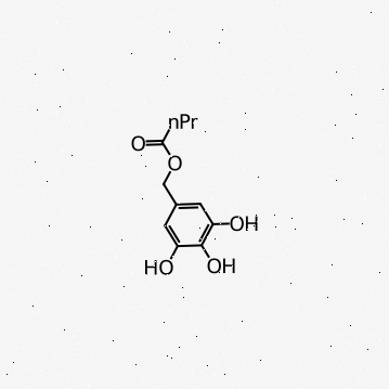 CCCC(=O)OCc1cc(O)c(O)c(O)c1